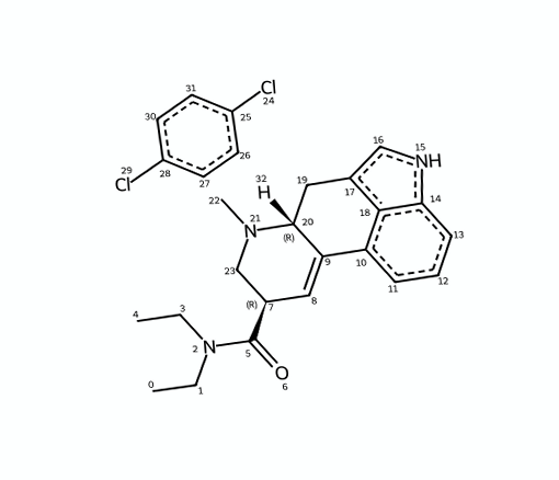 CCN(CC)C(=O)[C@@H]1C=C2c3cccc4[nH]cc(c34)C[C@H]2N(C)C1.Clc1ccc(Cl)cc1